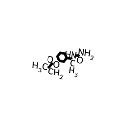 C=C(C)C(=O)OC1CCCC(C(C)NC(N)=O)C1